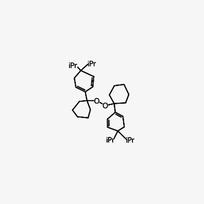 CC(C)C1(C(C)C)C=CC(C2(OOC3(C4=CCC(C(C)C)(C(C)C)C=C4)CCCCC3)CCCCC2)=CC1